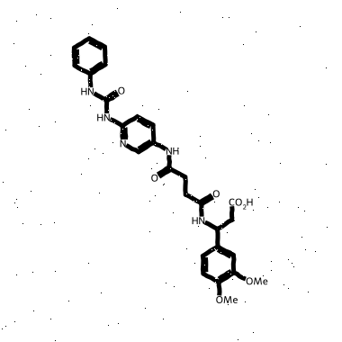 COc1ccc(C(CC(=O)O)NC(=O)CCC(=O)Nc2ccc(NC(=O)Nc3ccccc3)nc2)cc1OC